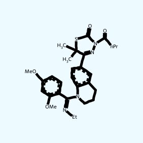 CCCC(=O)N1N=C(c2ccc3c(c2)CCCN3/C(=N\CC)c2ccc(OC)cc2OC)C(C)(C)SC1=O